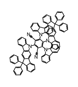 N#Cc1c(-n2c3ccccc3c3cc4c(cc32)-c2ccccc2C4(c2ccccc2)c2ccccc2)c(C#N)c(-n2c3ccccc3c3ccccc32)c(-n2c3ccccc3c3cc4c(cc32)-c2ccccc2C4(c2ccccc2)c2ccccc2)c1-n1c2ccccc2c2ccccc21